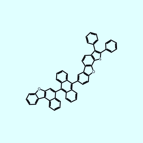 c1ccc(-c2sc3c(ccc4c5cc(-c6c7ccccc7c(-c7cc8oc9ccccc9c8c8ccccc78)c7ccccc67)ccc5oc43)c2-c2ccccc2)cc1